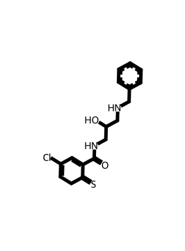 O=C(NCC(O)CNCc1ccccc1)C1=CC(Cl)=CCC1=S